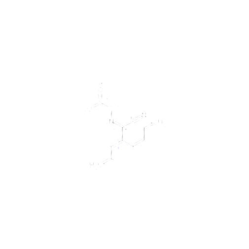 C=C\C=C/C(=C\C=C)C(/C#N)=N/O[SH](=O)=O